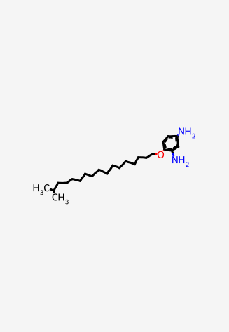 CC(C)CCCCCCCCCCCCCCCOc1ccc(N)cc1N